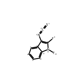 Fc1c(N=C=S)c2ccccc2n1F